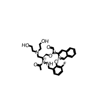 CC(=O)N(NCc1cccc(F)c1Cl)[C@H](CON(C=O)c1cc2ccccc2cn1)CN(CCO)CCO